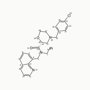 CC(C)CN(Cc1cccc2cccnc12)C(=O)[C@H]1CN(Cc2ccc(Cl)cc2)CCO1